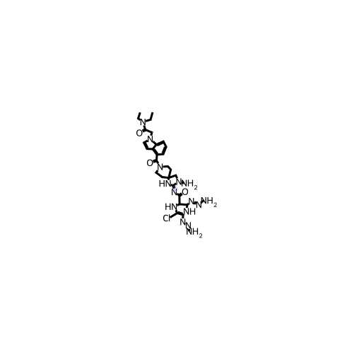 CCN(CC)C(=O)Cn1ccc2c(C(=O)N3CCC4(CC3)CN(N)/C(=N\C(=O)C3NC(Cl)=C(N=NN)NC3N=NN)N4)cccc21